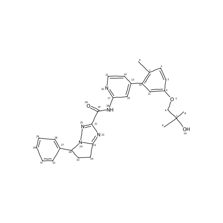 Cc1ccc(OCC(C)(C)O)cc1-c1ccnc(NC(=O)c2nc3n(n2)C(c2ccccc2)CC3)c1